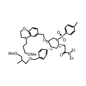 CCN(CC)C(=O)C[C@H]1C[C@H](c2ccc(COCC(C)COC)cc2)[C@@H](OCc2ccc3c(c2)N(CCCOC)CCO3)CN1S(=O)(=O)c1ccc(C)cc1